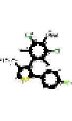 CCOC(=O)c1csc(-c2ccc(F)cc2)c1-c1c(C)c(Cl)c(OC)c(Cl)c1C